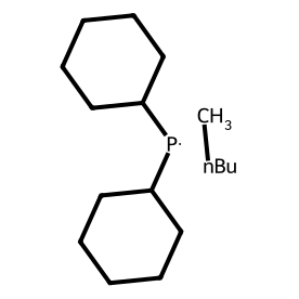 C1CCC([P]C2CCCCC2)CC1.CCCCC